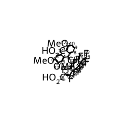 COc1ccc(C(C)c2cccc(OC)c2C(=O)O)cc1OC.O=C(O)C(F)=C(F)C(F)(F)C(F)(F)C(F)(F)C(F)(F)C(F)(F)CF